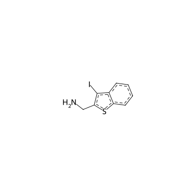 NCc1sc2ccccc2c1I